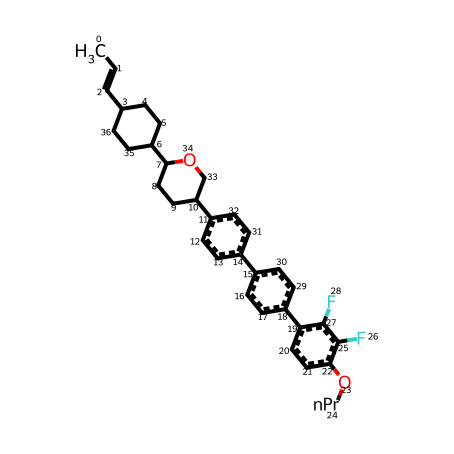 C/C=C/C1CCC(C2CCC(c3ccc(-c4ccc(-c5ccc(OCCC)c(F)c5F)cc4)cc3)CO2)CC1